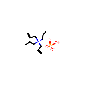 C=CC[N+](CC=C)(CCC)CCC.O=P([O-])(O)O